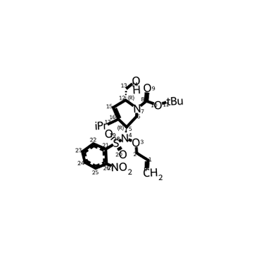 C=CCON([C@H]1CN(C(=O)OC(C)(C)C)[C@@H](CO)C=C1C(C)C)S(=O)(=O)c1ccccc1[N+](=O)[O-]